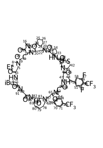 CC[C@H](C)[C@@H]1NC(=O)[C@H](CC)N(C)C(=O)C[C@@H](C(=O)N(C)C)N(C)C(=O)[C@H](C2CCCC2)N(C)C(=O)C2(CCC2)NC(=O)[C@@H]2CSCCN2C(=O)[C@H](CCc2cc(F)c(C(F)(F)F)c(F)c2)NC(=O)CN(C)C(=O)[C@H](Cc2ccc(C(F)(F)F)cc2)N2CC/C=C\C[C@@H](C2=O)N(C)C(=O)CN(C)C1=O